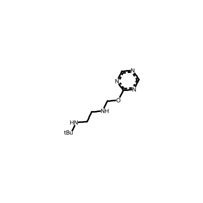 CC(C)(C)NCCNCOc1ncncn1